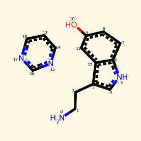 NCCc1c[nH]c2ccc(O)cc12.c1cncnc1